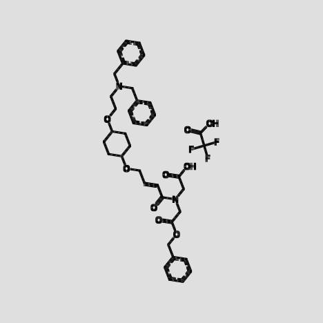 O=C(O)C(F)(F)F.O=C(O)CN(CC(=O)OCc1ccccc1)C(=O)/C=C/COC1CCC(OCCN(Cc2ccccc2)Cc2ccccc2)CC1